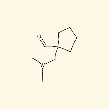 CN(C)CC1(C=O)CCCC1